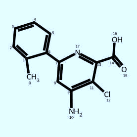 Cc1ccccc1-c1cc(N)c(Cl)c(C(=O)O)n1